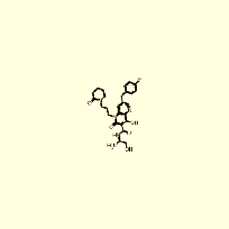 CC(CO)NC(=O)c1c(O)c2ncc(Cc3ccc(F)cc3)cc2n(CCCN2CCCCC2=O)c1=O